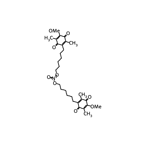 COC1=C(C)C(=O)C(CCCCCCO[N+](=O)OCCCCCCC2=C(C)C(=O)C(OC)=C(C)C2=O)=C(C)C1=O